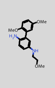 COCCNc1ccc(N)c(-c2cc(OC)ccc2OC)c1